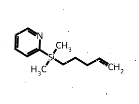 C=CCCC[Si](C)(C)c1ccccn1